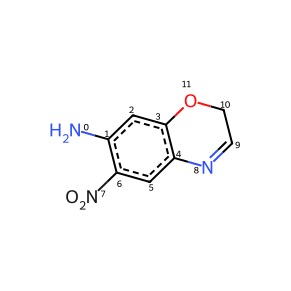 Nc1cc2c(cc1[N+](=O)[O-])N=CCO2